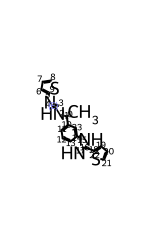 CC(N/C=N/c1cccs1)c1cccc(NC(=N)c2cccs2)c1